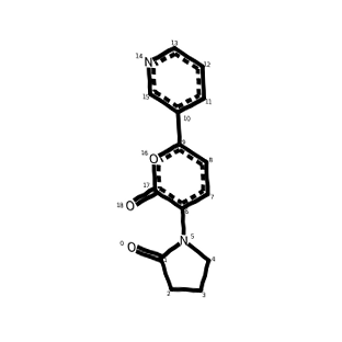 O=C1CCCN1c1ccc(-c2cccnc2)oc1=O